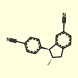 C[C@H]1Cc2ccc(C#N)cc2[C@@H]1c1ccc(C#N)cc1